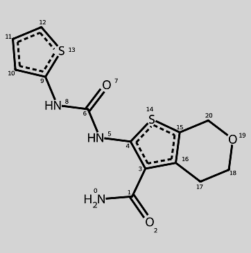 NC(=O)c1c(NC(=O)Nc2cccs2)sc2c1CCOC2